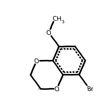 COc1ccc(Br)c2c1OC[C]O2